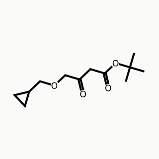 CC(C)(C)OC(=O)CC(=O)COCC1CC1